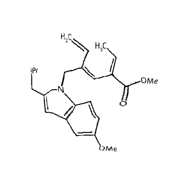 C=C/C(=C\C(=C/C)C(=O)OC)Cn1c(CC(C)C)cc2cc(OC)ccc21